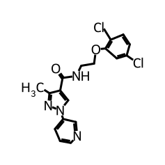 Cc1nn(-c2cccnc2)cc1C(=O)NCCOc1cc(Cl)ccc1Cl